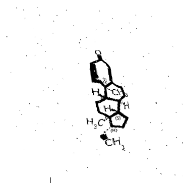 C=C[C@H]1CC[C@H]2[C@@H]3CCC4=CC(=O)C=C[C@]4(C)[C@H]3CC[C@]12C